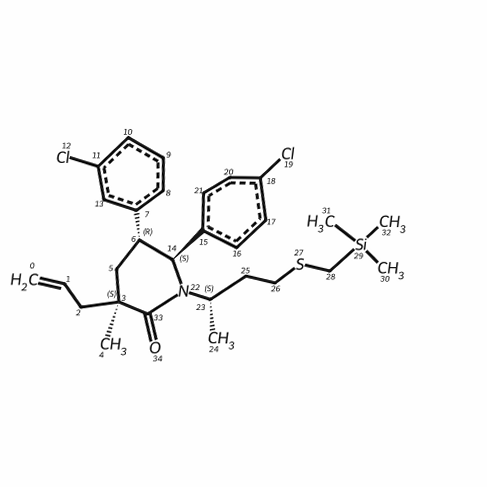 C=CC[C@@]1(C)C[C@H](c2cccc(Cl)c2)[C@@H](c2ccc(Cl)cc2)N([C@@H](C)CCSC[Si](C)(C)C)C1=O